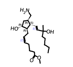 CCCCCC(C)(O)/C=C/[C@H]1[C@H](CN)C[C@@H](O)[C@@H]1C/C=C\CCCC(=O)OC